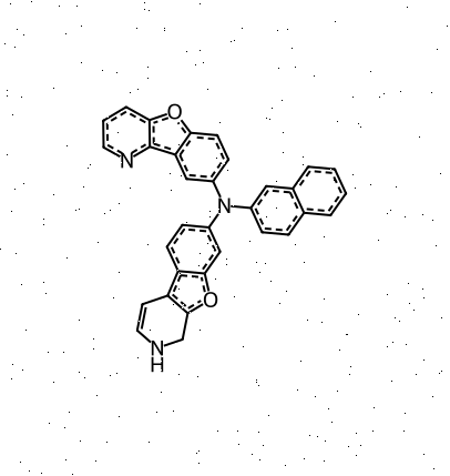 C1=Cc2c(oc3cc(N(c4ccc5ccccc5c4)c4ccc5oc6cccnc6c5c4)ccc23)CN1